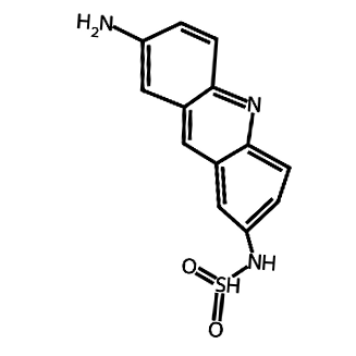 Nc1ccc2nc3ccc(N[SH](=O)=O)cc3cc2c1